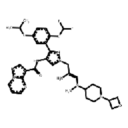 CC(C)Sc1ccc(OC(F)F)c(-c2nn(C/C(N)=C/N(N)C3CCN(C4COC4)CC3)cc2NC(=O)c2cnn3cccnc23)c1